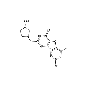 Cc1cc(Br)cc2c1oc1c(=O)[nH]c(CN3CC[C@H](O)C3)nc12